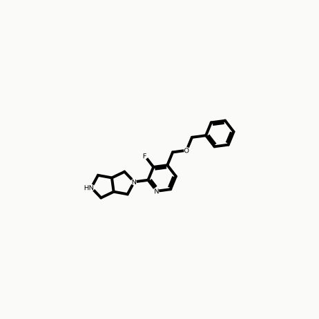 Fc1c(COCc2ccccc2)ccnc1N1CC2CNCC2C1